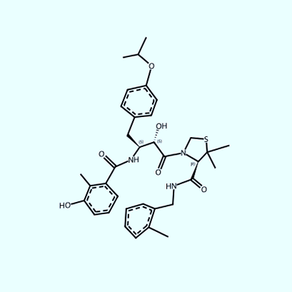 Cc1ccccc1CNC(=O)[C@H]1N(C(=O)[C@@H](O)[C@H](Cc2ccc(OC(C)C)cc2)NC(=O)c2cccc(O)c2C)CSC1(C)C